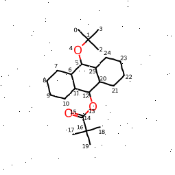 CC(C)(C)OC1C2CCCCC2C(OC(=O)C(C)(C)C)C2CCCCC21